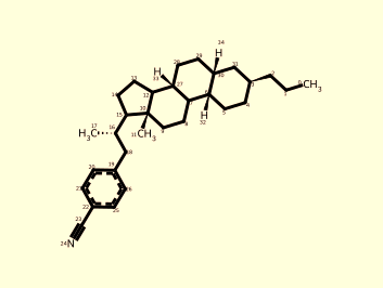 CCC[C@H]1CC[C@@H]2C3CC[C@@]4(C)C(CCC4[C@@H](C)Cc4ccc(C#N)cc4)[C@@H]3CC[C@@H]2C1